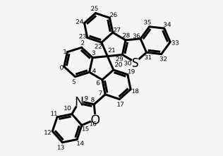 c1ccc2c(c1)-c1c(-c3nc4ccccc4o3)cccc1C21c2ccccc2-c2c1sc1ccccc21